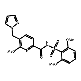 COc1cccc(OC)c1S(=O)(=O)NC(=O)c1ccc(Cn2cccn2)c(OC)n1